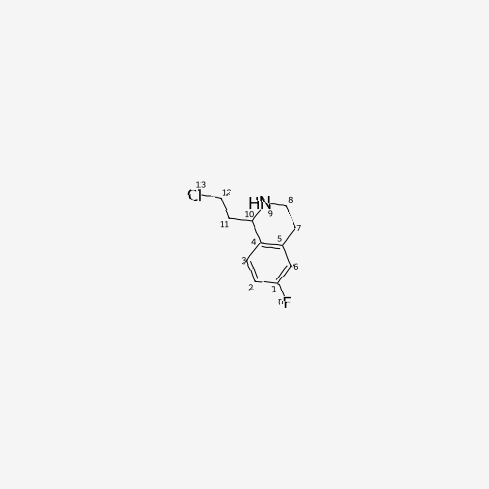 Fc1ccc2c(c1)CCNC2CCCl